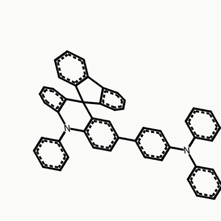 c1ccc(N(c2ccccc2)c2ccc(-c3ccc4c(c3)C3(c5ccccc5-c5ccccc53)c3ccccc3N4c3ccccc3)cc2)cc1